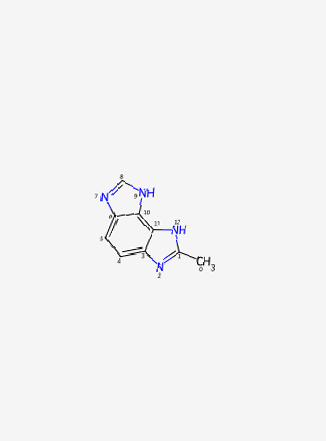 Cc1nc2ccc3nc[nH]c3c2[nH]1